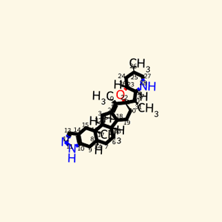 CC1=C2C[C@H]3[C@@H](CC[C@@H]4Cc5[nH]ncc5C[C@@]43C)[C@@H]2CC[C@]12O[C@@H]1C[C@H](C)CN[C@H]1[C@H]2C